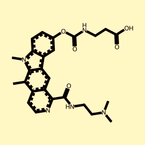 Cc1c2ccnc(C(=O)NCCN(C)C)c2cc2c3cc(OC(=O)NCCC(=O)O)ccc3n(C)c12